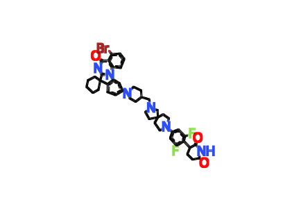 O=C1CCC(c2c(F)cc(N3CCC4(CCN(CC5CCN(c6ccc7c(c6)-n6c(nc(=O)c8c(Br)cccc86)C76CCCCC6)CC5)C4)CC3)cc2F)C(=O)N1